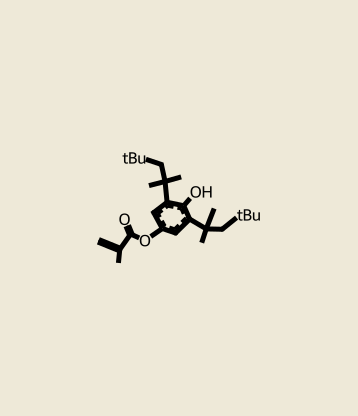 C=C(C)C(=O)Oc1cc(C(C)(C)CC(C)(C)C)c(O)c(C(C)(C)CC(C)(C)C)c1